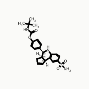 CC(C)(C)NC(=O)Oc1ccc([C@H]2Nc3ccc(S(N)(=O)=O)cc3[C@H]3C=CC[C@H]32)cc1